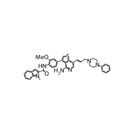 COc1cc(-c2csc3c(C=CCN4CCN(c5ccccc5)CC4)cnc(N)c23)ccc1NC(=O)c1cc2ccccc2n1C